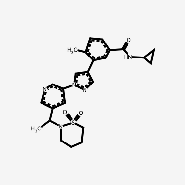 Cc1ccc(C(=O)NC2CC2)cc1-c1cnn(-c2cncc(C(C)N3CCCCS3(=O)=O)c2)c1